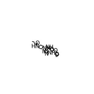 CCCC(=O)NC1CCC(Nc2ncnc(N)c2C(=N)c2ccc(Oc3ccccc3)cc2)CC1